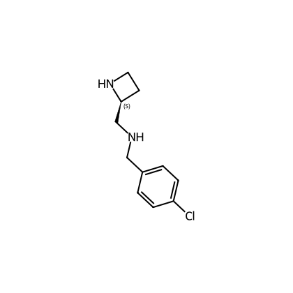 Clc1ccc(CNC[C@@H]2CCN2)cc1